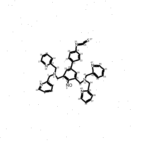 O=Nc1c(CN(Cc2ccccn2)Cc2ccccn2)cc(-c2ccc(N=C=S)cc2)cc1CN(Cc1ccccn1)Cc1ccccn1